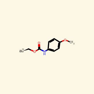 CC[C@H](C)COC(=O)Nc1ccc(OC(F)(F)F)cc1